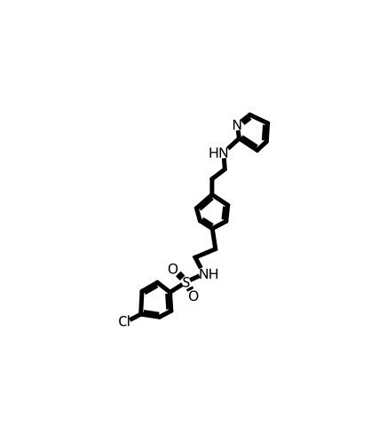 O=S(=O)(NCCc1ccc(CCNc2ccccn2)cc1)c1ccc(Cl)cc1